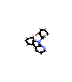 c1ccc2c(c1)Oc1cccc3c4cccnc4n-2c13